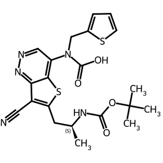 C[C@@H](Cc1sc2c(N(Cc3cccs3)C(=O)O)cnnc2c1C#N)NC(=O)OC(C)(C)C